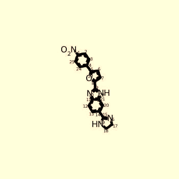 O=[N+]([O-])c1ccc(-c2ccc(-c3nc4ccc(C5=NCCN5)cc4[nH]3)o2)cc1